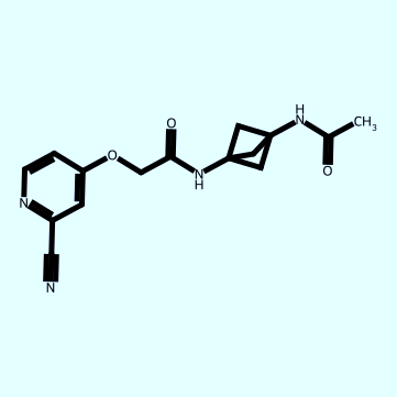 CC(=O)NC12CC(NC(=O)COc3ccnc(C#N)c3)(C1)C2